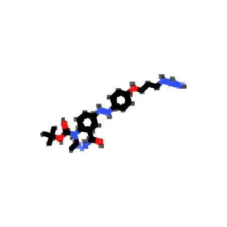 CCN(C(=O)OC(C)(C)C)c1ccc(N=Nc2ccc(OCCCN=[N+]=[N-])cc2)cc1C(N)=O